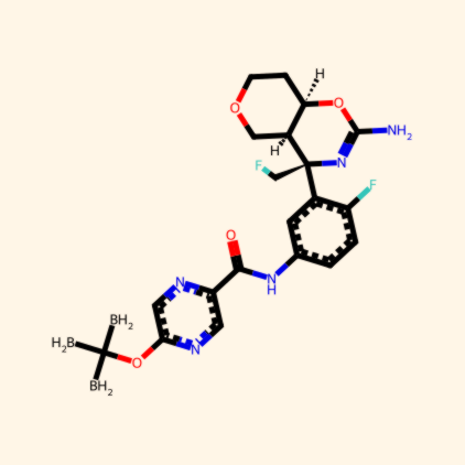 BC(B)(B)Oc1cnc(C(=O)Nc2ccc(F)c([C@@]3(CF)N=C(N)O[C@@H]4CCOC[C@@H]43)c2)cn1